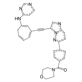 O=C(c1ccc(-c2ccc3ncc(C#CC4=CC=CCC(Nc5ccncn5)=C4)n3n2)cc1)N1CCOCC1